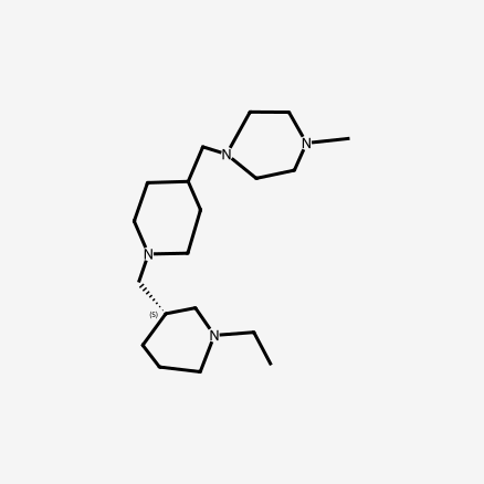 CCN1CCC[C@H](CN2CCC(CN3CCN(C)CC3)CC2)C1